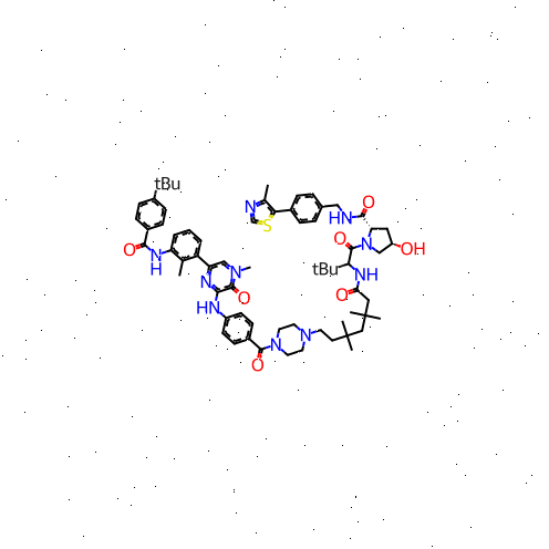 Cc1ncsc1-c1ccc(CNC(=O)[C@@H]2C[C@@H](O)CN2C(=O)C(NC(=O)CC(C)(C)CC(C)(C)CCN2CCN(C(=O)c3ccc(Nc4nc(-c5cccc(NC(=O)c6ccc(C(C)(C)C)cc6)c5C)cn(C)c4=O)cc3)CC2)C(C)(C)C)cc1